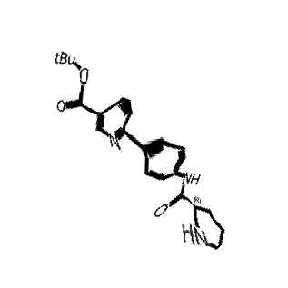 CC(C)(C)OC(=O)c1ccc(-c2ccc(NC(=O)[C@H]3CCCN3)cc2)nc1